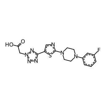 O=C(O)Cn1nnc(-c2cnc(N3CCN(c4cccc(F)c4)CC3)s2)n1